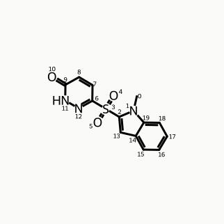 Cn1c(S(=O)(=O)c2ccc(=O)[nH]n2)cc2ccccc21